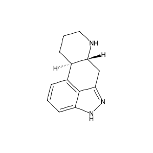 c1cc2c3c(n[nH]c3c1)C[C@H]1NCCC[C@H]21